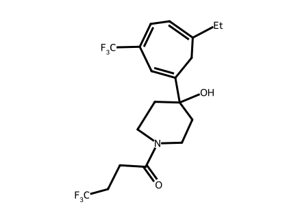 CCC1=CC=C(C(F)(F)F)C=C(C2(O)CCN(C(=O)CCC(F)(F)F)CC2)C1